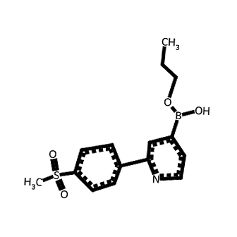 CCCOB(O)c1ccnc(-c2ccc(S(C)(=O)=O)cc2)c1